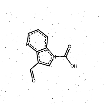 O=Cc1cn(C(=O)O)c2cccnc12